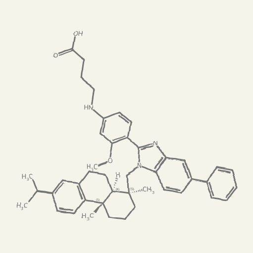 COc1cc(NCCCC(=O)O)ccc1-c1nc2cc(-c3ccccc3)ccc2n1C[C@@]1(C)CCC[C@]2(C)c3ccc(C(C)C)cc3CC[C@@H]12